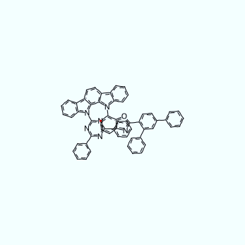 c1ccc(-c2ccc(-c3nc4cccc(-n5c6ccccc6c6ccc7c8ccccc8n(-c8nc(-c9ccccc9)nc(-c9ccccc9)n8)c7c65)c4o3)c(-c3ccccc3)c2)cc1